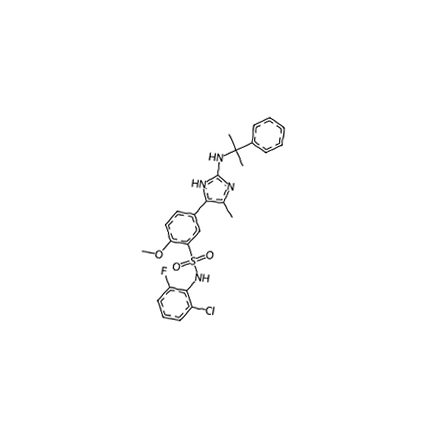 COc1ccc(-c2[nH]c(NC(C)(C)c3ccccc3)nc2C)cc1S(=O)(=O)Nc1c(F)cccc1Cl